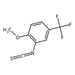 COc1ccc(C(F)(F)F)cc1N=C=S